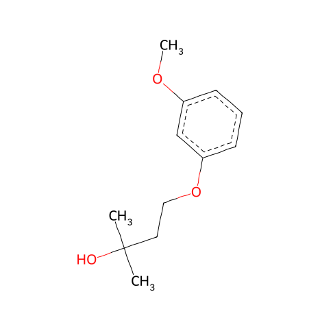 COc1cccc(OCCC(C)(C)O)c1